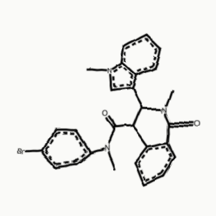 CN(C(=O)C1c2ccccc2C(=O)N(C)C1c1cn(C)c2ccccc12)c1ccc(Br)cc1